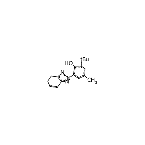 Cc1cc(-n2nc3c(n2)CCC=C3)c(O)c(C(C)(C)C)c1